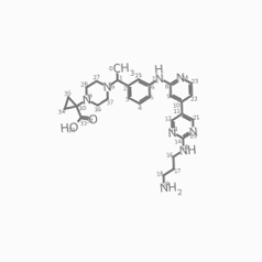 CC(c1cccc(Nc2cc(-c3cnc(NCCCN)nc3)ccn2)c1)N1CCN(C2(C(=O)O)CC2)CC1